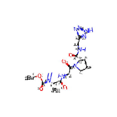 CC[C@H](C)[C@H](NC(=O)OC(C)(C)C)C(=O)NCC(=O)N1C[CH]C[C@H]1C(=O)NCc1nn[nH]n1